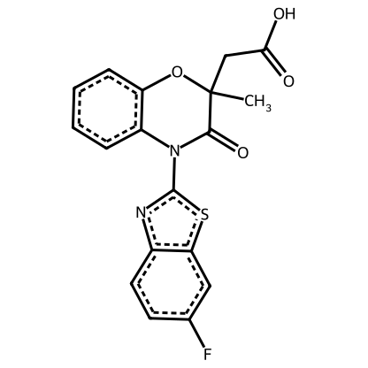 CC1(CC(=O)O)Oc2ccccc2N(c2nc3ccc(F)cc3s2)C1=O